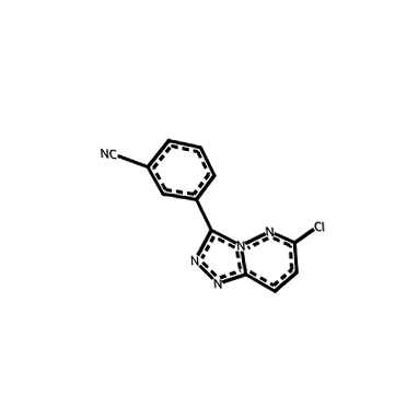 N#Cc1cccc(-c2nnc3ccc(Cl)nn23)c1